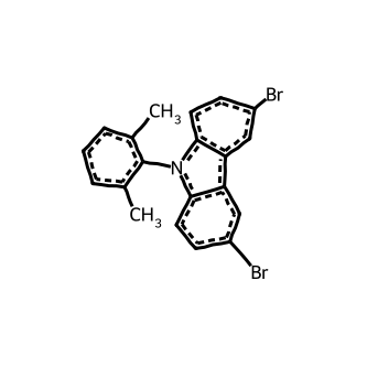 Cc1cccc(C)c1-n1c2ccc(Br)cc2c2cc(Br)ccc21